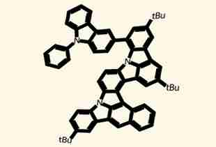 CC(C)(C)c1ccc2c(c1)c1cc3ccccc3c3c4c5c6cc(C(C)(C)C)cc7c8cc(C(C)(C)C)cc(-c9ccc%10c(c9)c9ccccc9n%10-c9ccccc9)c8n(c5ccc4n2c13)c76